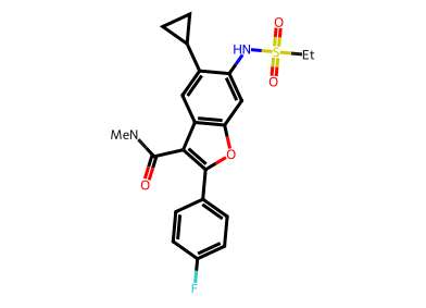 CCS(=O)(=O)Nc1cc2oc(-c3ccc(F)cc3)c(C(=O)NC)c2cc1C1CC1